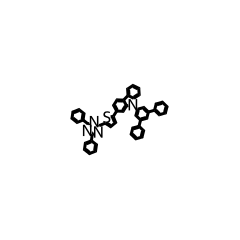 c1ccc(-c2cc(-c3ccccc3)cc(-n3c4ccccc4c4ccc(-c5ccc(-c6nc(-c7ccccc7)nc(-c7ccccc7)n6)s5)cc43)c2)cc1